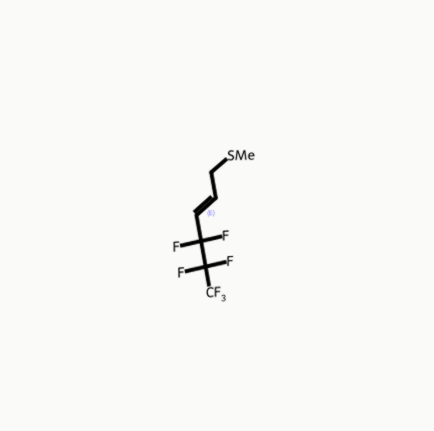 [CH2]SC/C=C/C(F)(F)C(F)(F)C(F)(F)F